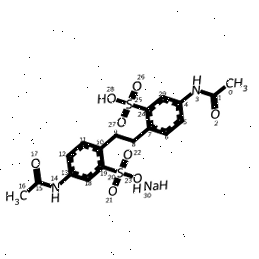 CC(=O)Nc1ccc(CCc2ccc(NC(C)=O)cc2S(=O)(=O)O)c(S(=O)(=O)O)c1.[NaH]